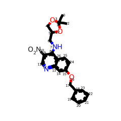 CC1(C)OCC(CNc2c([N+](=O)[O-])cnc3cc(OCc4ccccc4)ccc23)O1